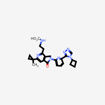 CC1(c2cc3c(c(CCNC(=O)O)n2)CN(c2cccc(-c4nncn4C4CCC4)n2)C3=O)CC1